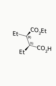 CCOC(=O)[C@H](CC)[C@H](CC)C(=O)O